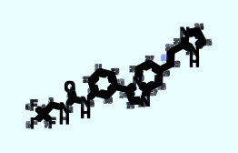 O=C(NCC(F)(F)F)Nc1cccc(-c2cnc3cc(/C=C/c4ncc[nH]4)ccn23)c1